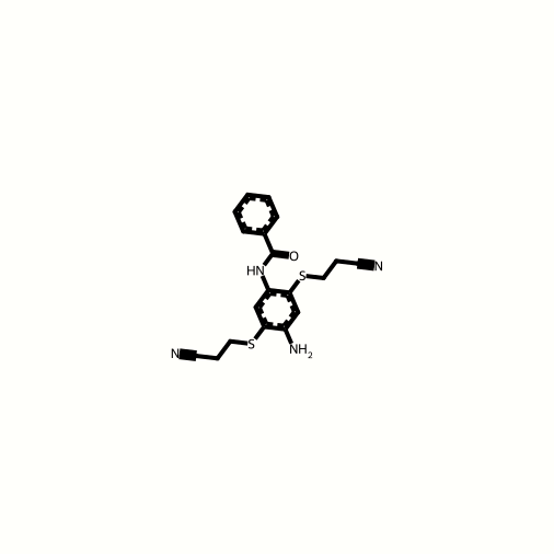 N#CCCSc1cc(NC(=O)c2ccccc2)c(SCCC#N)cc1N